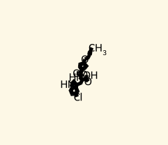 CC#CCOc1ccc(S(=O)(=O)NC(Cc2c[nH]c3ccc(Cl)cc23)C(=O)O)cc1